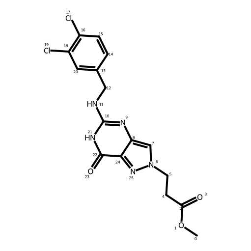 COC(=O)CCn1cc2nc(NCc3ccc(Cl)c(Cl)c3)[nH]c(=O)c2n1